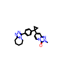 Cn1nc2cc(C3(c4ccc(-c5nnc6n5CCCCC6)cc4)CC3)ccn2c1=O